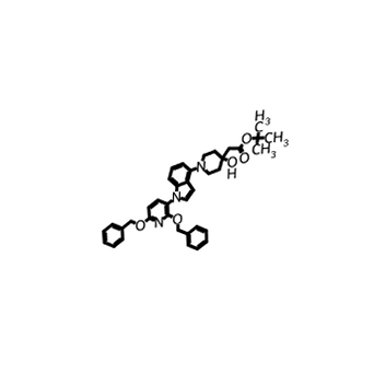 CC(C)(C)OC(=O)CC1(O)CCN(c2cccc3c2ccn3-c2ccc(OCc3ccccc3)nc2OCc2ccccc2)CC1